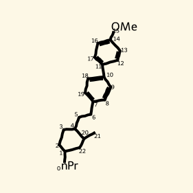 CCCC1CCC(CCc2ccc(-c3ccc(OC)cc3)cc2)C(C)C1